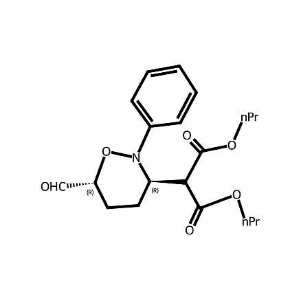 CCCOC(=O)C(C(=O)OCCC)[C@H]1CC[C@H](C=O)ON1c1ccccc1